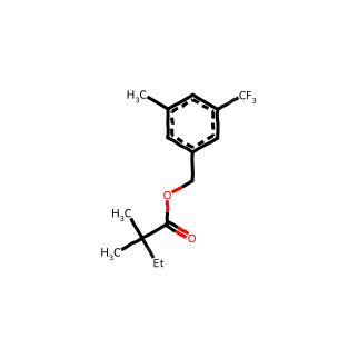 CCC(C)(C)C(=O)OCc1cc(C)cc(C(F)(F)F)c1